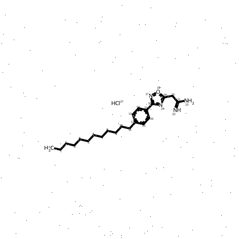 CCCCCCCCCCCCc1ccc(-c2noc(CC(=N)N)n2)cc1.Cl